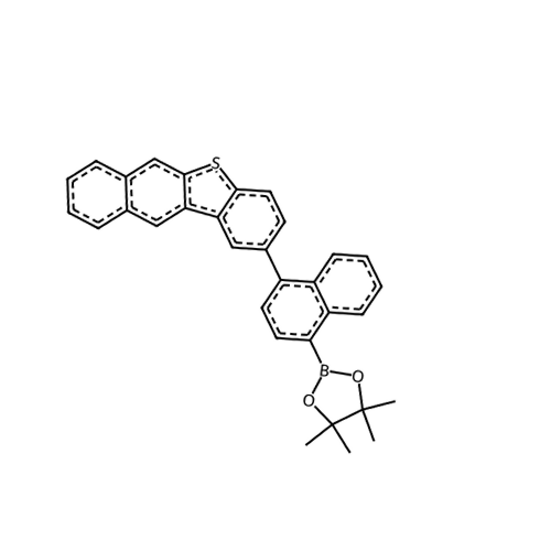 CC1(C)OB(c2ccc(-c3ccc4sc5cc6ccccc6cc5c4c3)c3ccccc23)OC1(C)C